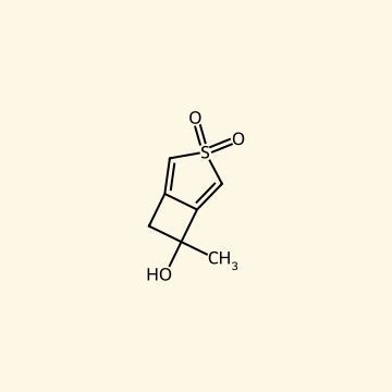 CC1(O)CC2=CS(=O)(=O)C=C21